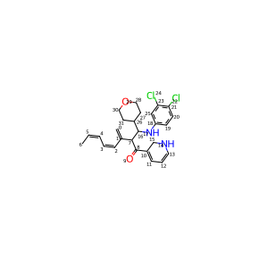 C=C(/C=C\C=C/C)C(C(=O)C1=CC=CNC1)C(Nc1ccc(Cl)c(Cl)c1)C1CCOCC1